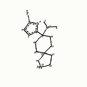 CN(C)C1(c2ccc(F)s2)CCC2(CCNC2)CC1